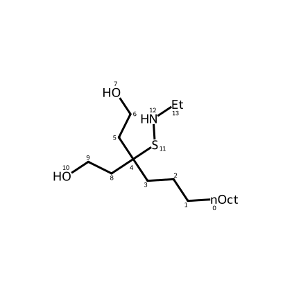 CCCCCCCCCCCC(CCO)(CCO)SNCC